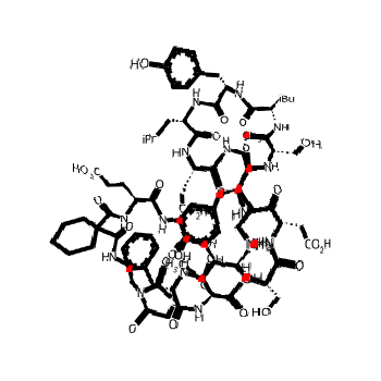 CC[C@H](C)[C@H](NC(=O)[C@H](CO)NC(=O)[C@H](Cc1ccc(O)cc1)NC(=O)[C@H](CC(=O)O)NC(=O)[C@H](CO)NC(=O)[C@@H](NC(=O)[C@H](Cc1ccccc1)NC(=O)[C@@H](NC(=O)CNC(=O)[C@H](CCC(=O)O)NC(=O)C1(C(=O)NCCN2C(=O)CSC2=O)CCCCC1)[C@@H](C)O)[C@@H](C)O)C(=O)N[C@@H](Cc1ccc(O)cc1)C(=O)N[C@@H](CC(C)C)C(=O)N[C@@H](CC(=O)O)C(=O)N[C@H](C)CCCCN